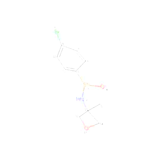 CC1(N[S+]([O-])c2ccc(Br)cc2)COC1